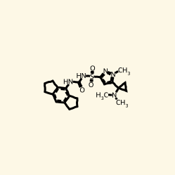 CN(C)C1(c2cc(S(=O)(=O)NC(=O)Nc3c4c(cc5c3CCC5)CCC4)nn2C)CC1